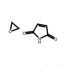 C1CO1.O=C1C=CC(=O)N1